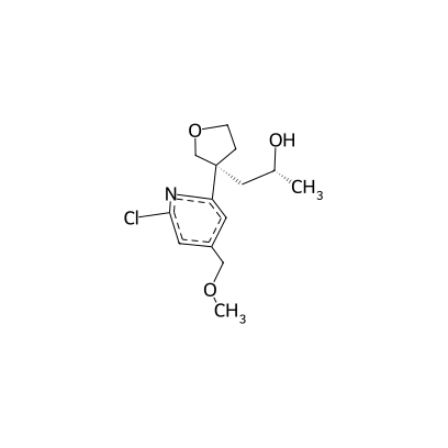 COCc1cc(Cl)nc([C@]2(C[C@@H](C)O)CCOC2)c1